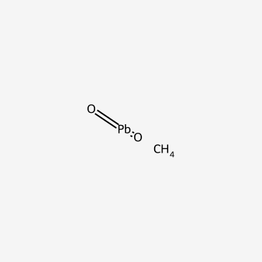 C.[O]=[Pb]=[O]